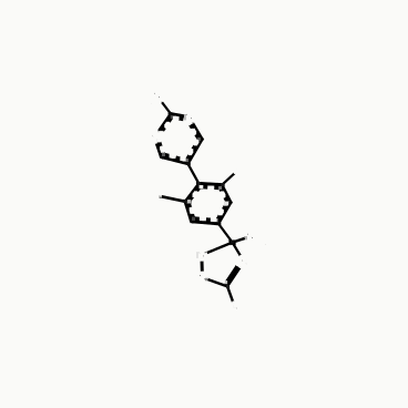 NC1=NC(N)(c2cc(Cl)c(-c3cnc(N)nc3)c(Cl)c2)NN1